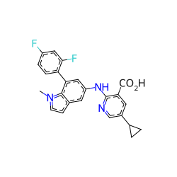 Cn1ccc2cc(Nc3ncc(C4CC4)cc3C(=O)O)cc(-c3ccc(F)cc3F)c21